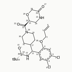 C=CCOc1cc(Cl)c(Cl)cc1C(N[S@@+]([O-])C(C)(C)C)C1CCN(C(=O)[C@@H]2CNC(=O)CO2)CC1